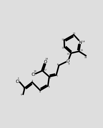 C\C(Cl)=C/C=C\C(=C\COc1cccnc1C)C(=O)Cl